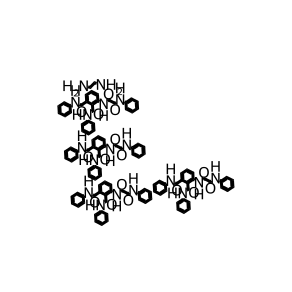 NCCN.O=C(Nc1ccccc1)C(=O)Nc1cccc(C(=O)Nc2ccccc2)c1C(=O)Nc1ccccc1.O=C(Nc1ccccc1)C(=O)Nc1cccc(C(=O)Nc2ccccc2)c1C(=O)Nc1ccccc1.O=C(Nc1ccccc1)C(=O)Nc1cccc(C(=O)Nc2ccccc2)c1C(=O)Nc1ccccc1.O=C(Nc1ccccc1)C(=O)Nc1cccc(C(=O)Nc2ccccc2)c1C(=O)Nc1ccccc1